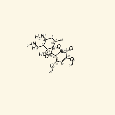 CNCC1C(N)C[C@@H](C)[C@]2(Oc3c(Cl)c(OC)cc(OC)c3C2=O)C1O